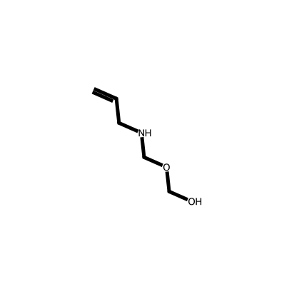 C=CCNCOCO